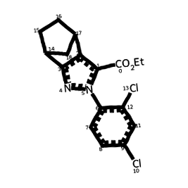 CCOC(=O)c1c2c(nn1-c1ccc(Cl)cc1Cl)C1CCC2C1